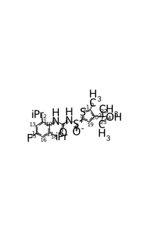 Cc1sc([S+]([O-])NC(=O)Nc2c(C(C)C)cc(F)cc2C(C)C)cc1C(C)(C)O